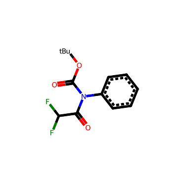 CC(C)(C)OC(=O)N(C(=O)C(F)F)c1ccccc1